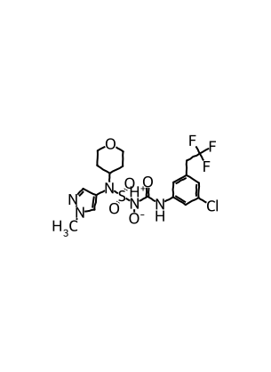 Cn1cc(N(C2CCOCC2)S(=O)(=O)[NH+]([O-])C(=O)Nc2cc(Cl)cc(CC(F)(F)F)c2)cn1